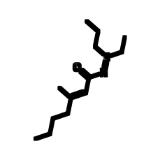 CCCC/C(C)=C/C(=O)/N=S(/CC)CCC